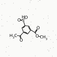 COC(=O)c1cc(C(C)=O)cc([SH](=O)=O)c1